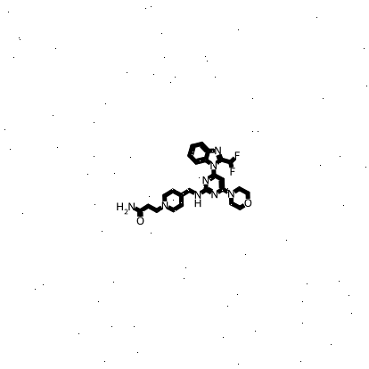 NC(=O)CCN1CCC(CNc2nc(N3CCOCC3)cc(-n3c(C(F)F)nc4ccccc43)n2)CC1